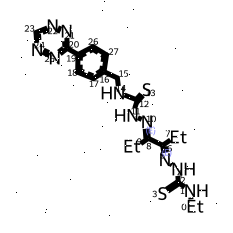 CCNC(=S)N/N=C(CC)/C(CC)=N/NC(=S)NCc1ccc(-c2nncnn2)cc1